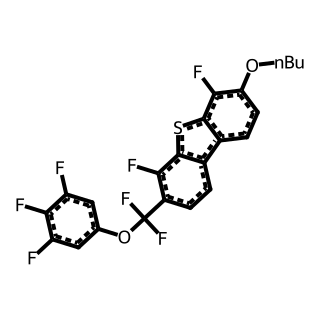 CCCCOc1ccc2c(sc3c(F)c(C(F)(F)Oc4cc(F)c(F)c(F)c4)ccc32)c1F